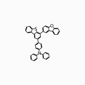 c1ccc(N(c2ccccc2)c2ccc(-c3cc(-c4ccc5oc6ccccc6c5c4)c4sc5ccccc5c4c3)cc2)cc1